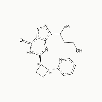 CCCC(CCO)n1ncc2c(=O)[nH]c([C@@H]3CC[C@H]3c3ccccn3)nc21